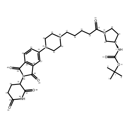 CC(C)(C)OC(=O)N[C@@H]1CCN(C(=O)CCCCN2CCN(c3ccc4c(c3)C(=O)N(C3CCC(=O)NC3=O)C4=O)CC2)C1